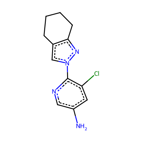 Nc1cnc(-n2cc3c(n2)CCCC3)c(Cl)c1